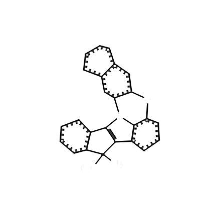 CC1(C)C2=C(B3c4cc5ccccc5cc4Oc4cccc2c43)c2ccccc21